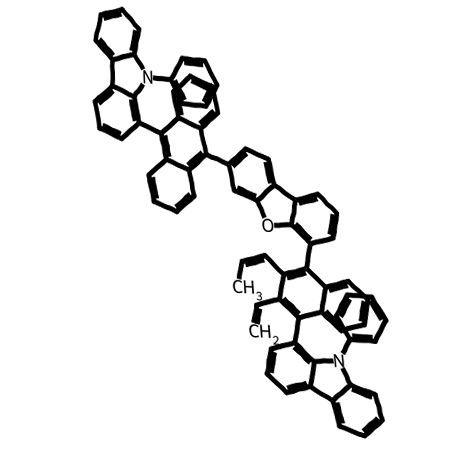 C=Cc1c(/C=C\C)c(-c2cccc3c2oc2cc(-c4c5ccccc5c(-c5cccc6c7ccccc7n(-c7ccccc7)c56)c5ccccc45)ccc23)c2ccccc2c1-c1cccc2c3ccccc3n(-c3ccccc3)c12